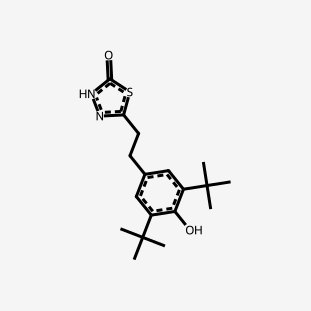 CC(C)(C)c1cc(CCc2n[nH]c(=O)s2)cc(C(C)(C)C)c1O